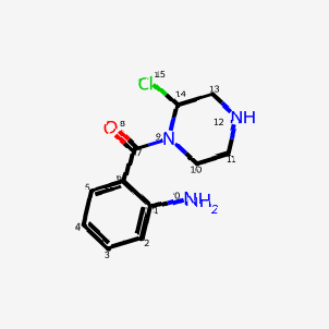 Nc1ccccc1C(=O)N1CCNCC1Cl